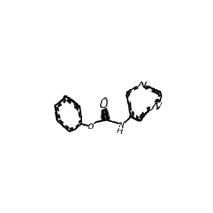 O=C(Nc1cncnc1)Oc1ccccc1